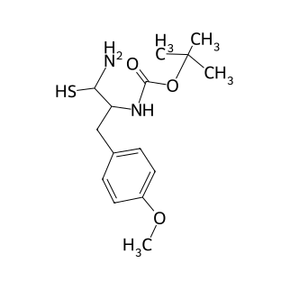 COc1ccc(CC(NC(=O)OC(C)(C)C)C(N)S)cc1